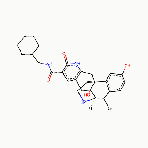 CC1c2ccc(O)cc2[C@]23CCN[C@H]1[C@]2(O)Cc1cc(C(=O)NCC2CCCCC2)c(=O)[nH]c1C3